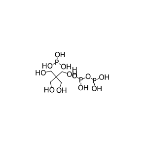 OCC(CO)(CO)CO.OP(O)O.OP(O)OP(O)O